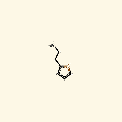 CCCCCc1c[c]cs1